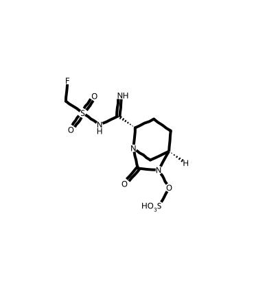 N=C(NS(=O)(=O)CF)[C@@H]1CC[C@@H]2CN1C(=O)N2OS(=O)(=O)O